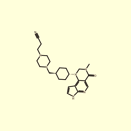 CN1CN([C@H]2CC[C@H](CN3CCN(CCC#N)CC3)CC2)c2c(cnc3[nH]ccc23)C1=O